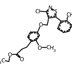 CCOC(=O)CCc1ccc(OCc2c(Cl)nsc2-c2ccccc2C)cc1OC